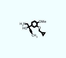 CC#CC(O)(CN)c1ccc(OC)c(OCC2CC2)c1